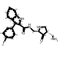 NC[C@H]1CN[C@H](CNC(=O)c2[nH]c3ccccc3c2-c2ccc(F)cc2)C1=O